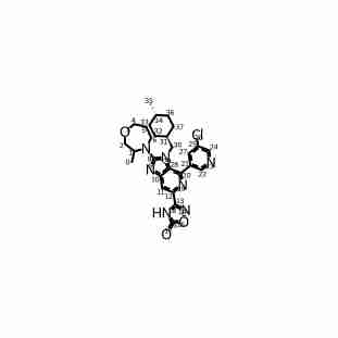 CC1COCCCN1c1nc2cc(-c3noc(=O)[nH]3)nc(-c3cncc(Cl)c3)c2n1C[C@H]1CC[C@H](C)CC1